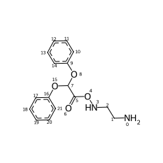 NCCNOC(=O)C(Oc1ccccc1)Oc1ccccc1